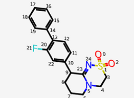 O=S1(=O)CCN2CCCC(c3ccc(-c4ccccc4)c(F)c3)C2=N1